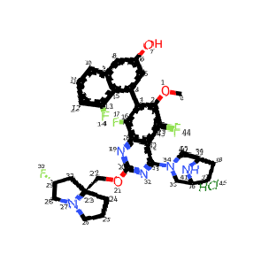 COc1c(-c2cc(O)cc3cccc(F)c23)c(F)c2nc(OC[C@@]34CCCN3C[C@H](F)C4)nc(N3CC4CCC(C3)N4)c2c1F.Cl